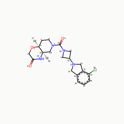 O=C1CO[C@H]2CCN(C(=O)N3CC(N4Cc5cccc(Cl)c5C4)C3)C[C@H]2N1